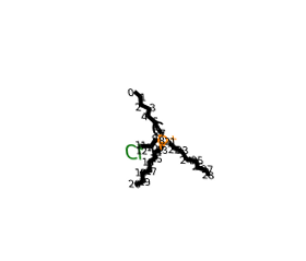 CCCCCCCC[P+](CCCCl)(CCCCCCCC)CCCCCCCC